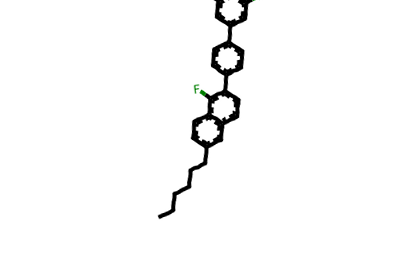 CCCCCCc1ccc2c(F)c(-c3ccc(-c4cc(F)cc(F)c4)cc3)ccc2c1